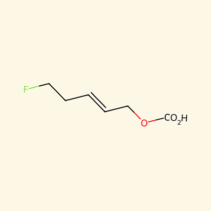 O=C(O)OCC=CCCF